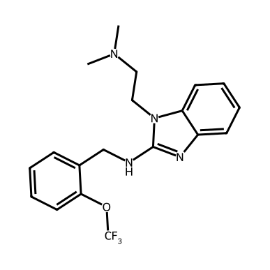 CN(C)CCn1c(NCc2ccccc2OC(F)(F)F)nc2ccccc21